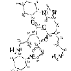 C[C@H]1CC[C@H](n2cnc(CC(CCCN)C(=O)OC(=O)C(CCCN)Cc3cn([C@H]4CC[C@H](C)CC4)cn3)c2)CC1